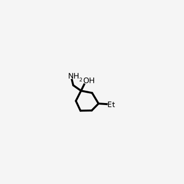 CCC1CCCC(O)(CN)C1